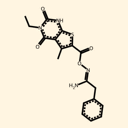 CCn1c(=O)[nH]c2sc(C(=O)O/N=C(\N)Cc3ccccc3)c(C)c2c1=O